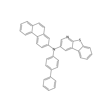 c1ccc(-c2ccc(N(c3ccc4c(ccc5ccccc54)c3)c3cnc4sc5ccccc5c4c3)cc2)cc1